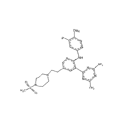 COc1ncc(Nc2ncc(CCN3CCN(S(C)(=O)=O)CC3)cc2-c2nc(C)nc(N)n2)cc1C(C)C